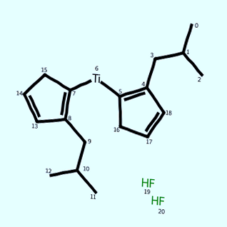 CC(C)CC1=[C]([Ti][C]2=C(CC(C)C)C=CC2)CC=C1.F.F